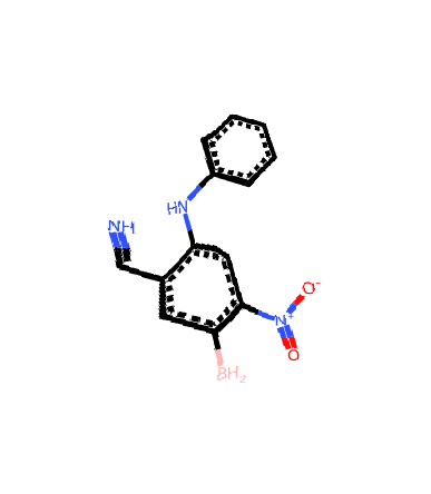 Bc1cc(C=N)c(Nc2ccccc2)cc1[N+](=O)[O-]